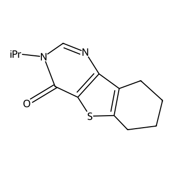 CC(C)n1cnc2c3c(sc2c1=O)CCCC3